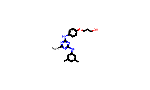 CNc1nc(Nc2ccc(OCCCO)cc2)nc(Nc2cc(C)cc(C)c2)n1